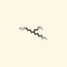 CCCCCC(CCP)CCCCC